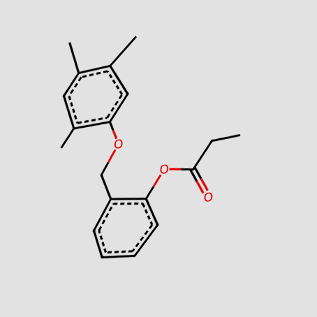 CCC(=O)Oc1ccccc1COc1cc(C)c(C)cc1C